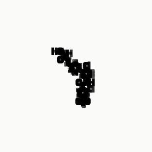 CS(=O)(=O)c1ccc(C(=O)Nc2ccc(Cl)c(-c3ccc(C=CC(=O)NO)cn3)c2)c(Cl)c1